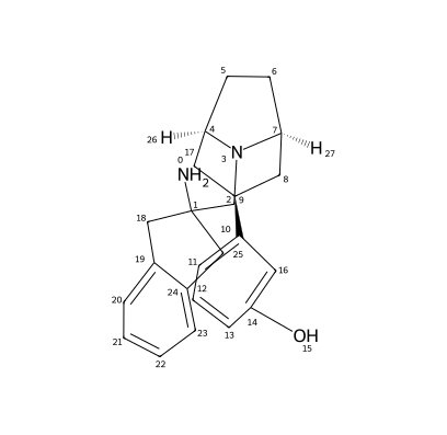 NC1(CN2[C@@H]3CC[C@H]2C[C@@H](c2cccc(O)c2)C3)Cc2ccccc2C1